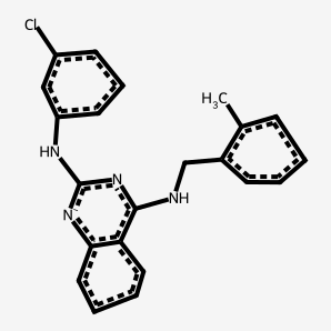 Cc1ccccc1CNc1nc(Nc2cccc(Cl)c2)nc2ccccc12